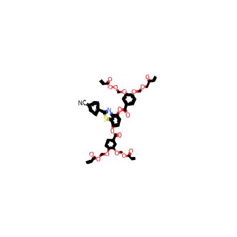 C=CC(=O)COCOc1ccc(C(=O)Oc2ccc(OC(=O)c3ccc(OCOC(=O)C=C)c(OCOC(=O)C=C)c3)c3sc(-c4ccc(C#N)cc4)nc23)cc1OCOOC(=O)C=C